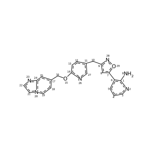 Nc1ncccc1-c1cc(Cc2ccc(OCc3ccn4ccnc4c3)nc2)no1